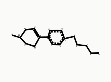 CCCCCc1ccc(C2=CCC(C)CC2)cc1